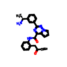 COC(=O)Cc1ccccc1NC(=O)c1nc(-c2cccc([C@@H](C)N)c2)nn2cccc12